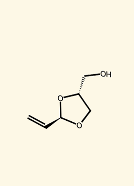 C=C[C@@H]1OC[C@@H](CO)O1